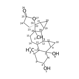 CC12CCC(O)CC1(O)C1CC1C1C2CCC2(C)C1C1CC1[C@@]21CCC(=O)O1